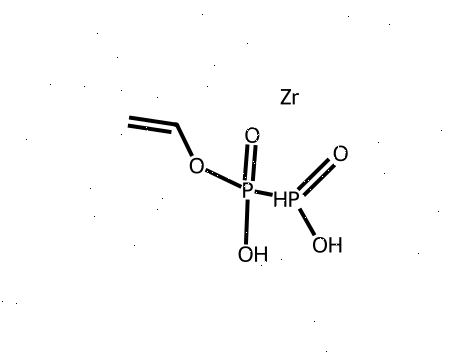 C=COP(=O)(O)[PH](=O)O.[Zr]